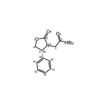 CC(C)(C)C(=O)CN1C(=O)OC[C@H]1c1ccccc1